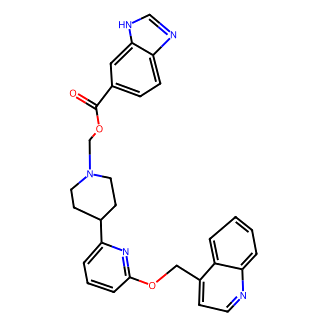 O=C(OCN1CCC(c2cccc(OCc3ccnc4ccccc34)n2)CC1)c1ccc2nc[nH]c2c1